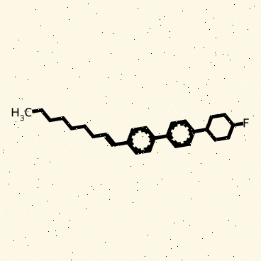 CCCCCCC/C=C/c1ccc(-c2ccc(C3CCC(F)CC3)cc2)cc1